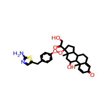 CC12C=CC(=O)C=C1CCC1C2C(O)CC2(C)C1CCC2(OOc1ccc(Cc2cnc(N)s2)cc1)C(=O)CO